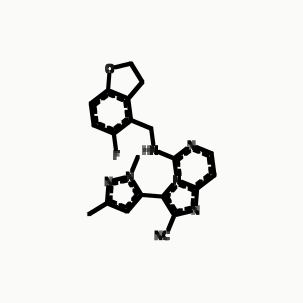 Cc1cc(-c2c(C#N)nc3ccnc(NCc4c(F)ccc5c4CCO5)n23)n(C)n1